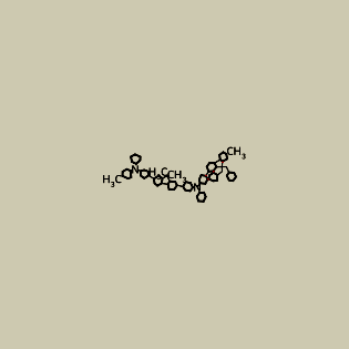 Cc1ccc(N(c2ccccc2)c2ccc(-c3ccc4c(c3)C(C)(C)c3cc(-c5ccc(N(c6ccccc6)c6ccc(-c7ccc8c(c7)C(Cc7ccccc7)(Cc7ccccc7)c7cc(C)ccc7-8)cc6)cc5)ccc3-4)cc2)cc1